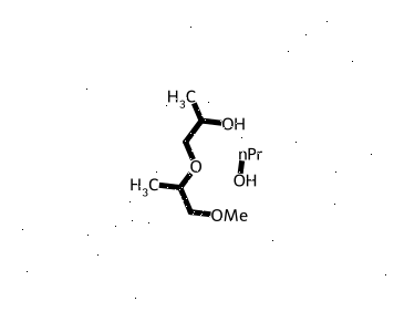 CCCO.COCC(C)OCC(C)O